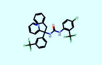 O=C(Nc1ccc(Cl)cc1C(F)(F)F)NC(Cc1ccccc1)(c1cccc(C(F)(F)F)c1)c1ccccn1